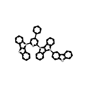 c1ccc(-c2cc(-n3c4ccccc4c4sc5ccccc5c43)nc(-n3c4ccccc4c4c3c3ccccc3n4-c3ccc4oc5ccccc5c4c3)c2)cc1